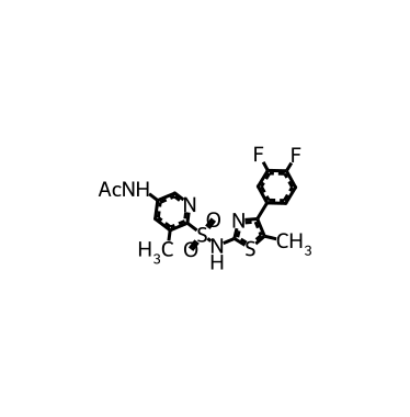 CC(=O)Nc1cnc(S(=O)(=O)Nc2nc(-c3ccc(F)c(F)c3)c(C)s2)c(C)c1